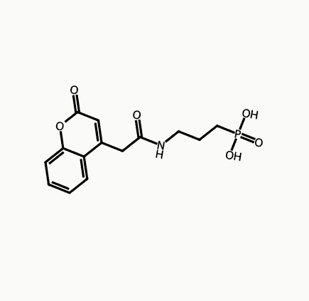 O=C(Cc1cc(=O)oc2ccccc12)NCCCP(=O)(O)O